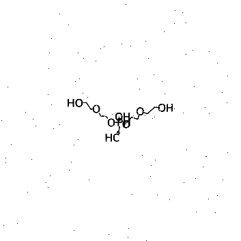 C#C[PH](O)(OCCOCCO)OCCOCCO